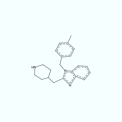 Cc1ccc(Cn2c(CC3CCNCC3)nc3ccccc32)cc1